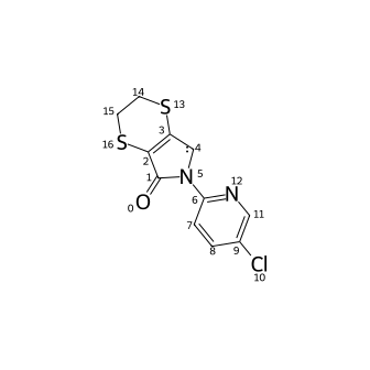 O=C1C2=C([C]N1c1ccc(Cl)cn1)SCCS2